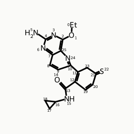 CCOc1nc(N)nc2ccc(C3=C(C(=O)NC4CC4)C=CC(=S)C3)nc12